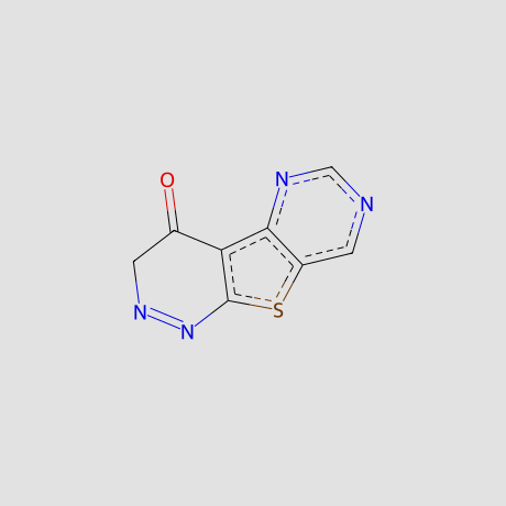 O=C1CN=Nc2sc3cncnc3c21